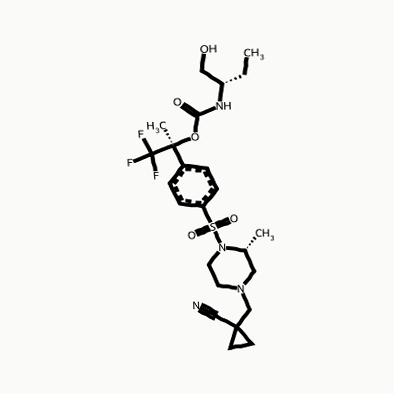 CC[C@@H](CO)NC(=O)O[C@@](C)(c1ccc(S(=O)(=O)N2CCN(CC3(C#N)CC3)C[C@H]2C)cc1)C(F)(F)F